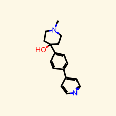 CN1CCC(O)(c2ccc(-c3ccncc3)cc2)CC1